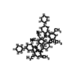 Cc1cc(C)c2c3cc(-c4ccccc4)ccc3n(-c3c(C#N)c(C#N)c(-n4c5ccc(-c6ccccc6)cc5c5c(C)cc(C)cc54)c4c3C3(C)CCC4(C)CC3)c2c1